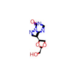 O=c1[nH]cnc2c([C@H]3CO[C@@H](CO)O3)cnn12